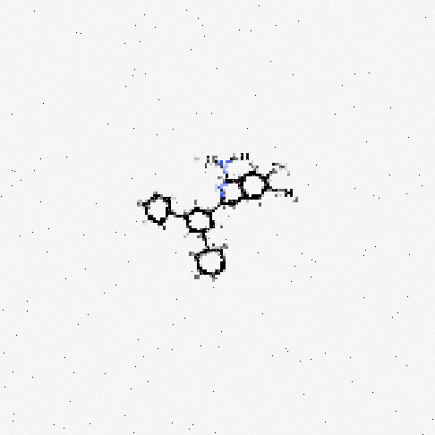 Cc1cc2cc(-c3cc(-c4ccccc4)cc(-c4ccccc4)c3)nc(N(C)C)c2cc1C